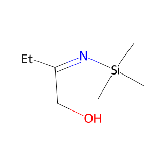 CCC(CO)=N[Si](C)(C)C